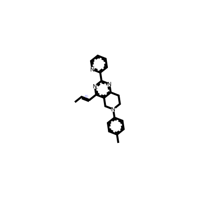 C/C=C/c1nc(-c2ccccn2)nc2c1CN(c1ccc(C)cc1)CC2